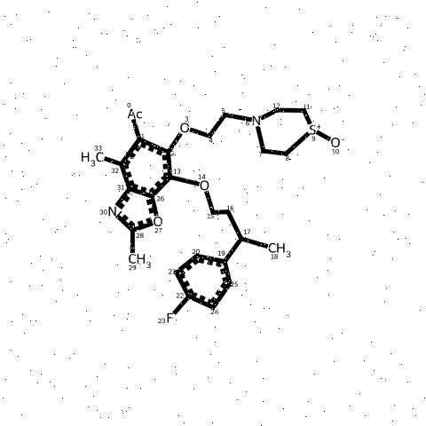 CC(=O)c1c(OCCN2CC[S+]([O-])CC2)c(OCCC(C)c2ccc(F)cc2)c2oc(C)nc2c1C